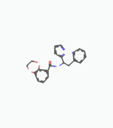 O=C(NC(Cc1ccccc1)c1ccc[nH]1)c1cccc2c1OCCO2